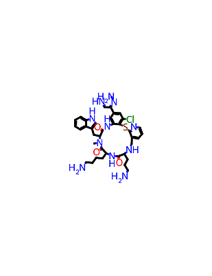 CN1C(=O)C(CCCCN)NC(=O)C(CCCN)NCc2cccnc2Sc2c(Cl)cc(/C(C=N)=N/N)cc2NC(=O)C1Cc1c[nH]c2ccccc12